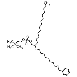 CCCCCCCCCCCCSCC(COP(=O)([O-])OCC[N+](C)(C)C)OCCCCCCCCOCc1ccccc1